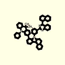 CC1(C)c2ccccc2N(c2ccccc2)c2cc(-c3cccc4c5c6ccccc6ccc5n(-c5cccc(-c6nc(-c7cccc8ccccc78)c7ccccc7n6)c5)c34)ccc21